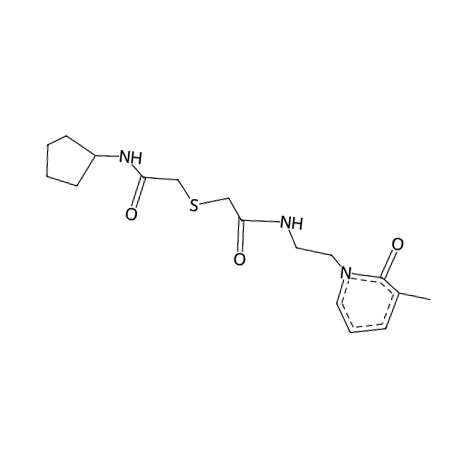 Cc1cccn(CCNC(=O)CSCC(=O)NC2CCCC2)c1=O